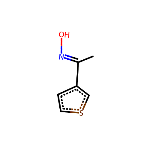 CC(=NO)c1ccsc1